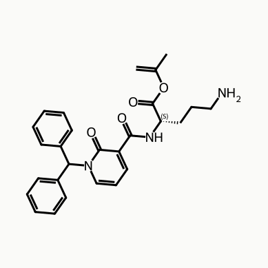 C=C(C)OC(=O)[C@H](CCCN)NC(=O)c1cccn(C(c2ccccc2)c2ccccc2)c1=O